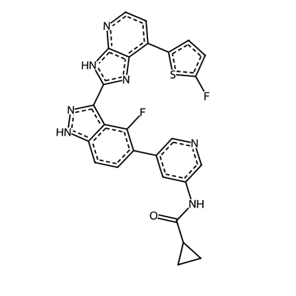 O=C(Nc1cncc(-c2ccc3[nH]nc(-c4nc5c(-c6ccc(F)s6)ccnc5[nH]4)c3c2F)c1)C1CC1